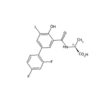 C[C@H](NC(=O)c1cc(-c2ccc(F)cc2F)cc(I)c1O)C(=O)O